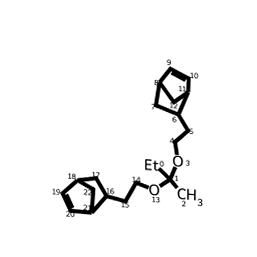 CCC(C)(OCCC1CC2C=CC1C2)OCCC1CC2C=CC1C2